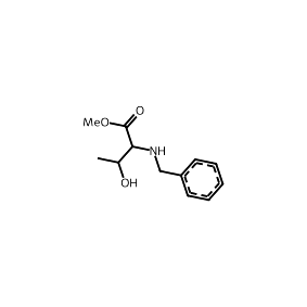 COC(=O)C(NCc1ccccc1)C(C)O